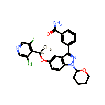 C[C@@H](Oc1ccc2c(c1)c(-c1cccc(C(N)=O)c1)nn2C1CCCCO1)c1c(Cl)cncc1Cl